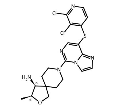 C[C@@H]1OCC2(CCN(c3ncc(Sc4ccnc(Cl)c4Cl)c4nccn34)CC2)[C@@H]1N